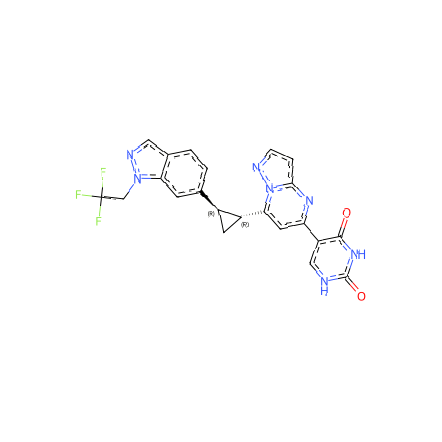 O=c1[nH]cc(-c2cc([C@@H]3C[C@H]3c3ccc4cnn(CC(F)(F)F)c4c3)n3nccc3n2)c(=O)[nH]1